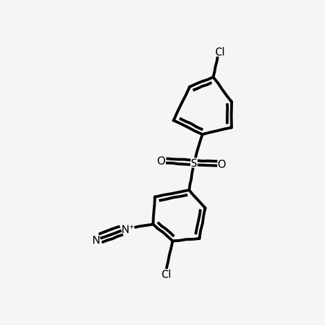 N#[N+]c1cc(S(=O)(=O)c2ccc(Cl)cc2)ccc1Cl